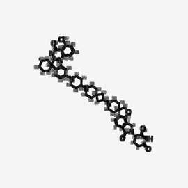 O=C1CC[C@H](N2Cc3c(ccc4c3OCC43CCN(C4CC5(CCN(C6CCN(c7ccc8c(c7)-n7c(nc(=O)c9c(Cl)cccc97)C87CCCCC7)CC6)CC5)C4)CC3)C2=O)C(=O)N1